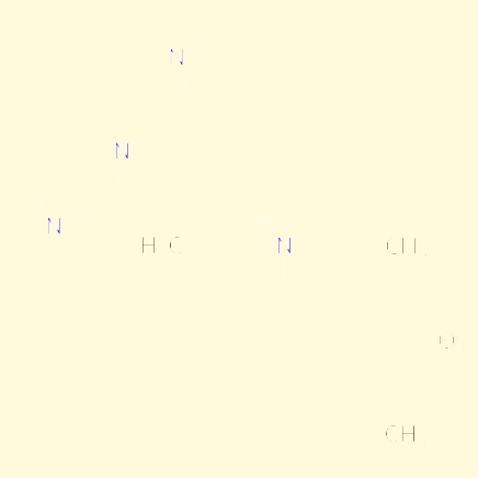 CC(=O)c1c(C)cccc1/N=C(\C)c1cccnc1N1C=NCC1